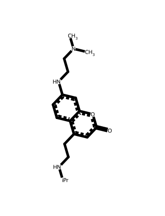 CC(C)NCCc1cc(=O)oc2cc(NCCN(C)C)ccc12